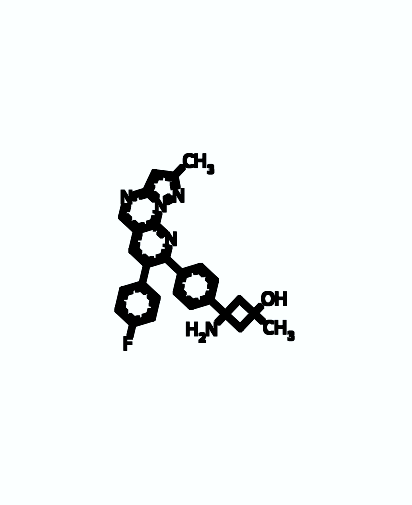 Cc1cc2ncc3cc(-c4ccc(F)cc4)c(-c4ccc(C5(N)CC(C)(O)C5)cc4)nc3n2n1